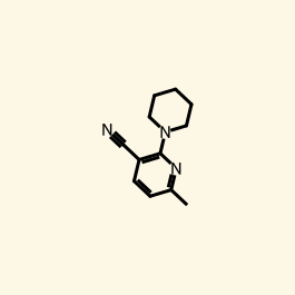 Cc1ccc(C#N)c(N2CCCCC2)n1